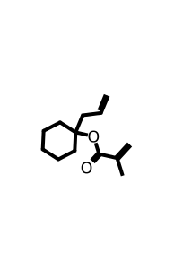 C=CCC1(OC(=O)C(=C)C)CCCCC1